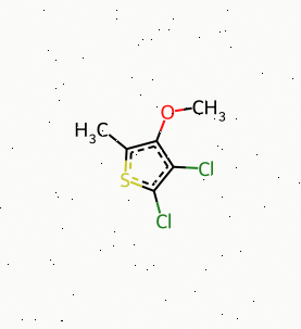 COc1c(C)sc(Cl)c1Cl